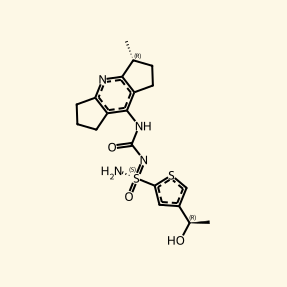 C[C@@H]1CCc2c1nc1c(c2NC(=O)N=[S@](N)(=O)c2cc([C@@H](C)O)cs2)CCC1